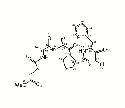 COC(=O)CCC(=O)N[C@H](C)C(=O)N[C@@H](C)C(=O)N1CCC[C@H]1C(=O)N[C@@H](Cc1ccccc1)C(=O)CCl